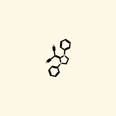 N#CC(C#N)=C1N(c2ccccc2)CCN1c1ccccc1